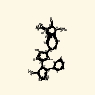 Cc1onc(-c2ccccc2)c1-c1nnc(-c2ccc3c(c2)n(C)c(=O)n3C)o1